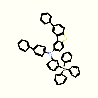 c1ccc(-c2ccc(N(c3cccc([Si](c4ccccc4)(c4ccccc4)c4ccccc4)c3)c3ccc4sc5ccc(-c6ccccc6)cc5c4c3)cc2)cc1